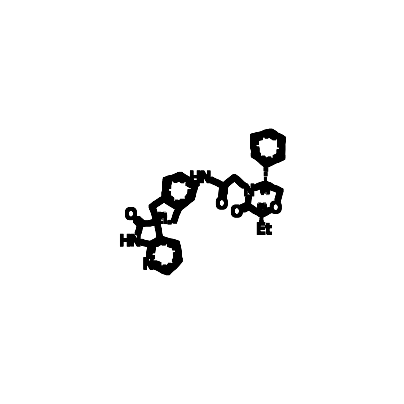 CC[C@H]1OC[C@@H](c2ccccc2)N(CC(=O)Nc2ccc3c(c2)C[C@@]2(C3)C(=O)Nc3ncccc32)C1=O